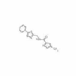 O=C(NCc1nnc(-c2ccccc2)s1)c1cn(C(F)(F)F)nn1